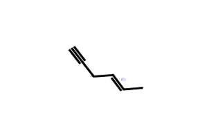 C#C[CH]/C=C/C